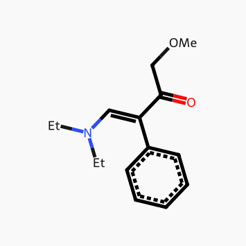 CCN(/C=C(/C(=O)COC)c1ccccc1)CC